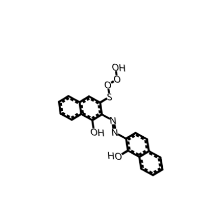 OOOSc1cc2ccccc2c(O)c1N=Nc1ccc2ccccc2c1O